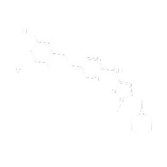 COc1cc(C)c(F)c(COc2cnc(Nc3cc(CN4CCOCC4)n(C)n3)nc2)c1F